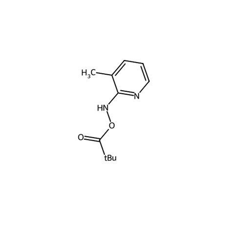 Cc1cccnc1NOC(=O)C(C)(C)C